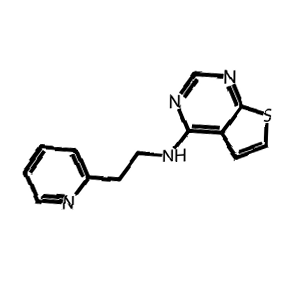 c1ccc(CCNc2ncnc3sccc23)nc1